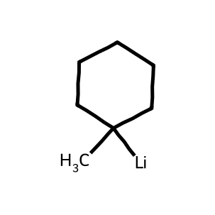 [Li][C]1(C)CCCCC1